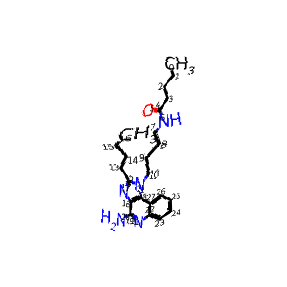 CCCCC(=O)NCCCCn1c(CCCC)nc2c(N)nc3ccccc3c21